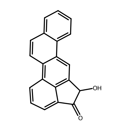 O=C1c2cccc3c2c(cc2c4ccccc4ccc32)C1O